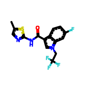 Cc1cnc(NC(=O)c2cn(CC(F)(F)F)c3cc(F)ccc23)s1